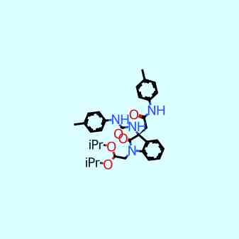 Cc1ccc(NC(=O)C[C@]2(NC(=O)Nc3ccc(C)cc3)C(=O)N(CC(OC(C)C)OC(C)C)c3ccccc32)cc1